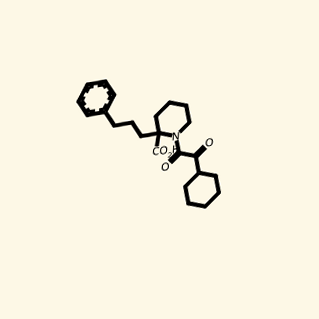 O=C(C(=O)N1CCCCC1(CCCc1ccccc1)C(=O)O)C1CCCCC1